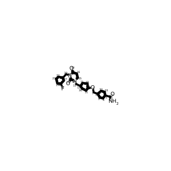 NC(=O)c1ccc(COc2ccc(Cn3ccc(=O)n(Cc4cccc(F)c4)c3=O)cc2)cc1